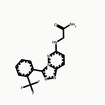 NC(=O)CNc1ccc2nnc(-c3ccccc3C(F)(F)F)n2n1